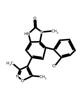 Cc1noc(C)c1-c1cc(-c2ccccc2Cl)c2c(c1)[nH]c(=O)n2C